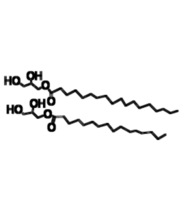 CCCCCCCCCCCCCCCC(=O)OCC(O)CO.CCCCCCCCCCCCCCCCCC(=O)OCC(O)CO